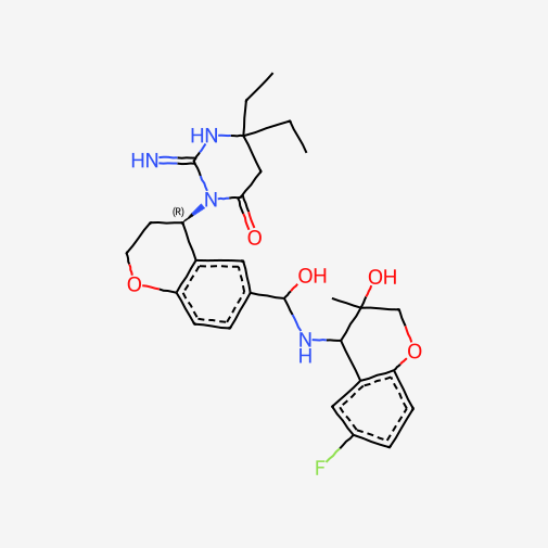 CCC1(CC)CC(=O)N([C@@H]2CCOc3ccc(C(O)NC4c5cc(F)ccc5OCC4(C)O)cc32)C(=N)N1